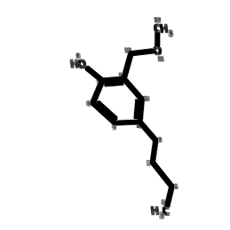 CCCCc1ccc(O)c(COC)c1